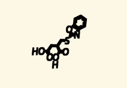 O=C(O)CC(CSc1nc2ccccc2o1)C(=O)O